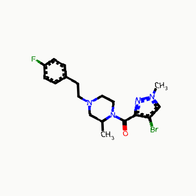 CC1CN(CCc2ccc(F)cc2)CCN1C(=O)c1nn(C)cc1Br